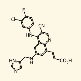 N#Cc1cnc2c(C=CC(=O)O)cc(NCc3cnc[nH]3)cc2c1Nc1ccc(F)c(Cl)c1